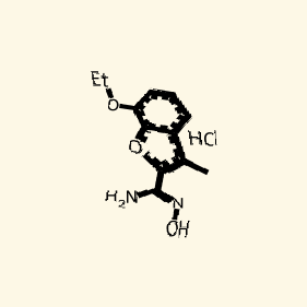 CCOc1cccc2c(C)c(C(N)=NO)oc12.Cl